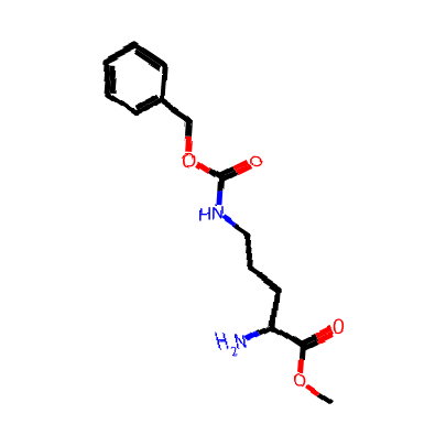 COC(=O)C(N)CCCNC(=O)OCc1ccccc1